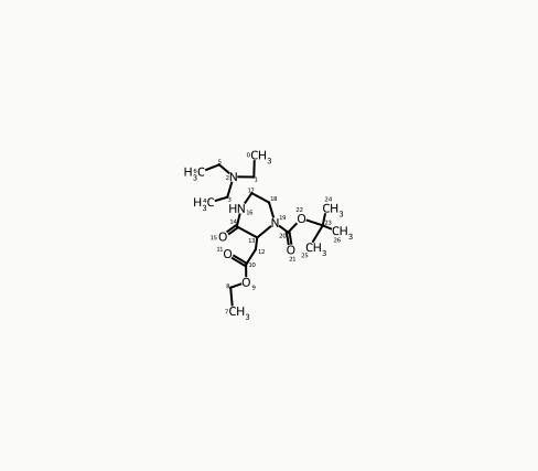 CCN(CC)CC.CCOC(=O)CC1C(=O)NCCN1C(=O)OC(C)(C)C